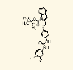 CC(C)(C)OC(=O)n1c(COc2ccc(NC(=O)Nc3ccc(Cl)c(Cl)c3)cc2)nc2ccccc21